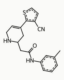 Cc1cccc(NC(=O)CC2CC(c3sccc3C#N)=CCN2)c1